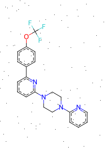 FC(F)(F)Oc1ccc(-c2cccc(N3CCN(c4ccccn4)CC3)n2)cc1